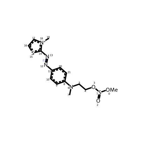 COS(=O)OCCN(C)c1ccc(/N=N/c2scc[n+]2C)cc1